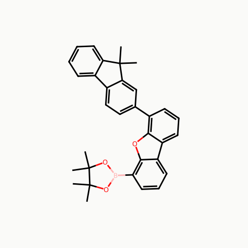 CC1(C)c2ccccc2-c2ccc(-c3cccc4c3oc3c(B5OC(C)(C)C(C)(C)O5)cccc34)cc21